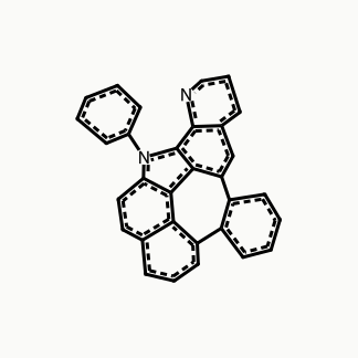 c1ccc(-n2c3ccc4cccc5c4c3c3c(cc4cccnc4c32)-c2ccccc2-5)cc1